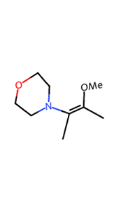 CO/C(C)=C(/C)N1CCOCC1